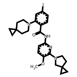 COc1ccc(NC(=O)c2ccc(I)cc2N2CCC3(CC2)CC3)nc1N1CCC2(CC2)C1